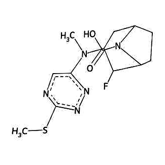 CSc1ncc(N(C)C2CC3CCC(C2F)N3C(=O)O)nn1